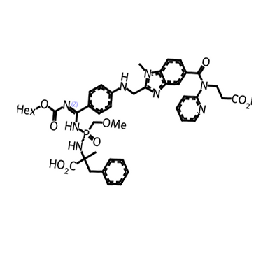 CCCCCCOC(=O)/N=C(\NP(=O)(COC)NC(C)(Cc1ccccc1)C(=O)O)c1ccc(NCc2nc3cc(C(=O)N(CCC(=O)OCC)c4ccccn4)ccc3n2C)cc1